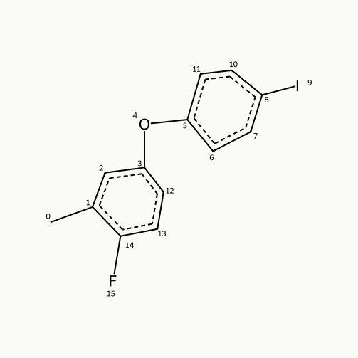 Cc1cc(Oc2ccc(I)cc2)ccc1F